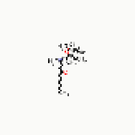 C=CCCCCC(=O)CC/C(C)=C\C(C)[C@H](O[Si](C)(C)C(C)(C)C)[C@H](C=C)OC